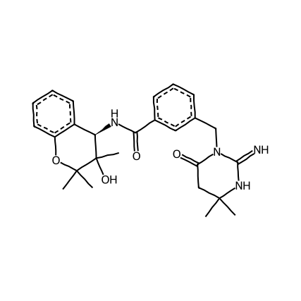 CC1(C)CC(=O)N(Cc2cccc(C(=O)N[C@@H]3c4ccccc4OC(C)(C)C3(C)O)c2)C(=N)N1